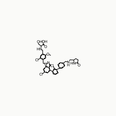 COc1cc(Cn2ncc3c(-c4cccc(-c5ccc(CNCC6CCC(=O)N6)cc5)c4Cl)cc(Cl)cc32)c(Cl)cc1CNC(CO)C(=O)O